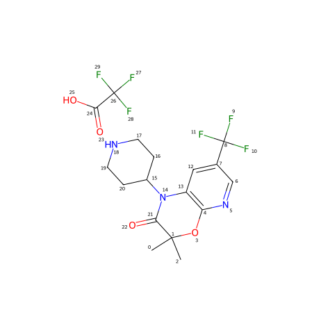 CC1(C)Oc2ncc(C(F)(F)F)cc2N(C2CCNCC2)C1=O.O=C(O)C(F)(F)F